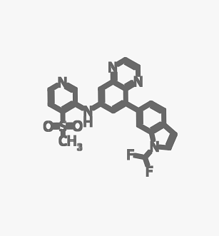 CS(=O)(=O)c1ccncc1Nc1cc(-c2ccc3ccn(C(F)F)c3c2)c2nccnc2c1